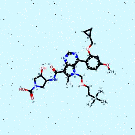 COc1ccc(-c2ncnc3c(C(=O)NC4CN(C(=O)O)CC4O)c(C)n(COCC[Si](C)(C)C)c23)c(OCC2CC2)c1